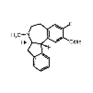 COc1cc2c(cc1Cl)CCN(C)[C@@H]1Cc3ccccc3[C@@H]21